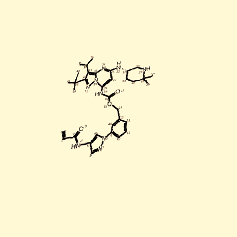 C=CC(=O)Nc1cnn(-c2cccc(COC(=O)Nc3cc(N[C@H]4CCC(C)(C)NC4)nc4c(C(C)C)c(C(C)(C)C)nn34)c2)c1